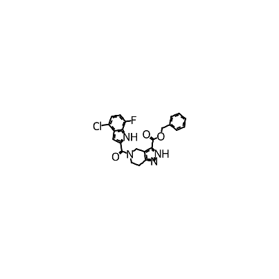 O=C(OCc1ccccc1)c1[nH]nc2c1CN(C(=O)c1cc3c(Cl)ccc(F)c3[nH]1)CC2